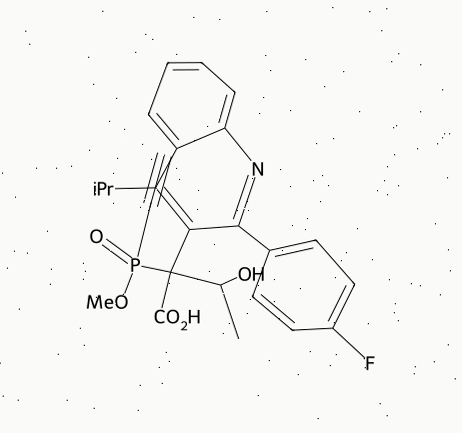 C#CP(=O)(OC)C(C(=O)O)(c1c(-c2ccc(F)cc2)nc2ccccc2c1C(C)C)C(C)O